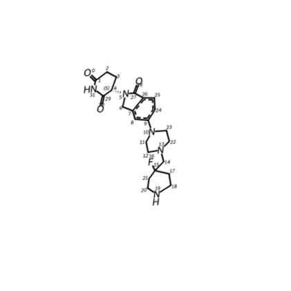 O=C1CC[C@H](N2Cc3cc(N4CCN(CC5(F)CCNCC5)CC4)ccc3C2=O)C(=O)N1